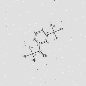 O=C(c1cccc(C(F)(F)F)c1)C(F)(F)F